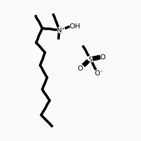 CCCCCCCCC(C)[N+](C)(C)O.CS(=O)(=O)[O-]